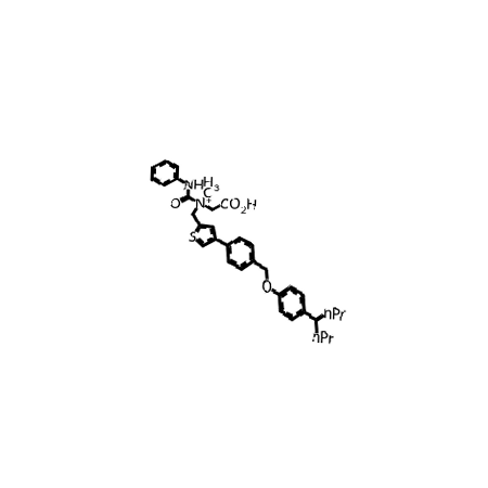 CCCC(CCC)c1ccc(OCc2ccc(-c3csc(C[N+](C)(CC(=O)O)C(=O)Nc4ccccc4)c3)cc2)cc1